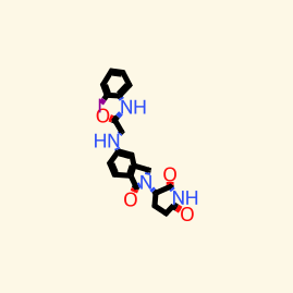 O=C1CCC(N2Cc3cc(NCC(=O)Nc4ccccc4I)ccc3C2=O)C(=O)N1